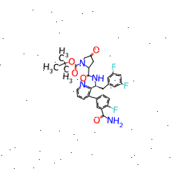 CC(C)(C)OC(=O)N1CC(=O)CC1C(=O)N[C@@H](Cc1cc(F)cc(F)c1)c1ncccc1-c1ccc(F)c(C(N)=O)c1